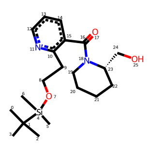 CC(C)(C)[Si](C)(C)OCCc1ncccc1C(=O)N1CCCC[C@H]1CO